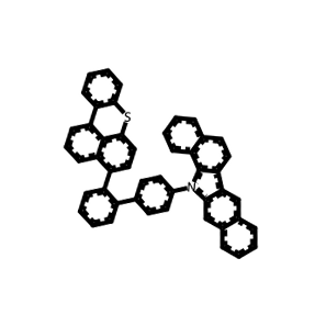 c1ccc2c(c1)Sc1ccc(-c3ccccc3-c3ccc(-n4c5cc6ccccc6cc5c5ccc6ccccc6c54)cc3)c3cccc-2c13